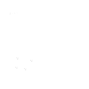 Cn1nnc(-c2cc(/C=C/C(=O)O)sc2Cc2ccccc2)n1